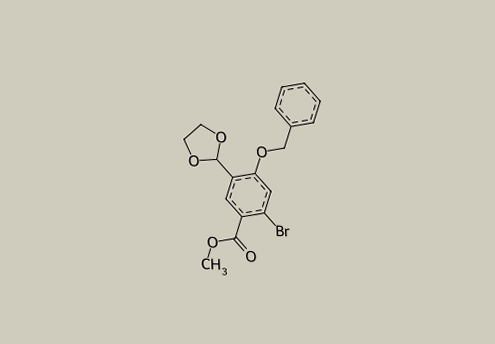 COC(=O)c1cc(C2OCCO2)c(OCc2ccccc2)cc1Br